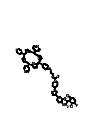 CC(Oc1cc(-c2cnn(C3CCN(C(=O)OCCC[n+]4ccc(C5=C6C=CC(=N6)C(c6ccncc6)=C6C=CC(=N6)C(c6ccncc6)=C6C=CC(=N6)C(c6ccncc6)=C6C=CC5=N6)cc4)CC3)c2)ccc1N)c1c(Cl)ccc(F)c1Cl